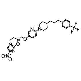 O=[N+]([O-])c1cn2c(n1)O[C@@H](COc1ccc(N3CCC(CCCc4ccc(C(F)(F)F)cc4)CC3)nc1)CC2